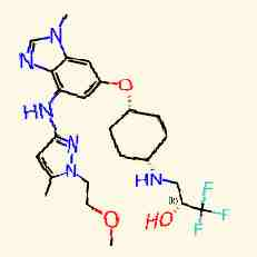 COCCn1nc(Nc2cc(O[C@H]3CC[C@@H](NC[C@@H](O)C(F)(F)F)CC3)cc3c2ncn3C)cc1C